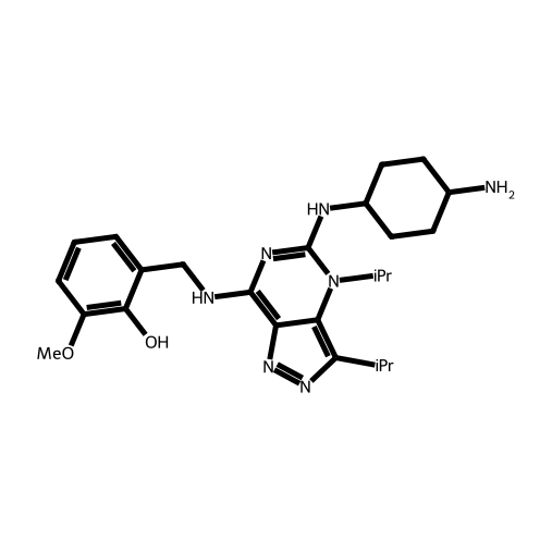 COc1cccc(CNc2nc(NC3CCC(N)CC3)n(C(C)C)c3c(C(C)C)nnc2-3)c1O